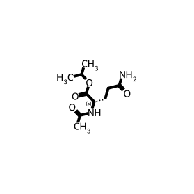 CC(=O)N[C@@H](CCC(N)=O)C(=O)OC(C)C